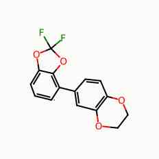 FC1(F)Oc2cc[c]c(-c3ccc4c(c3)OCCO4)c2O1